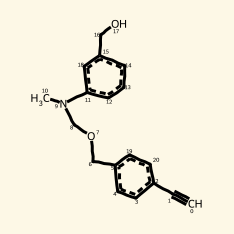 C#Cc1ccc(COCN(C)c2cccc(CO)c2)cc1